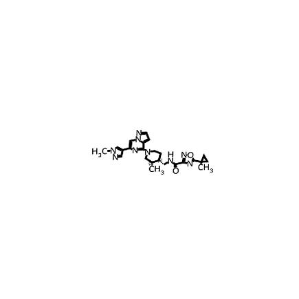 C[C@@H]1CN(c2nc(-c3cnn(C)c3)cn3nccc23)CC[C@@H]1CNC(=O)c1noc(C2(C)CC2)n1